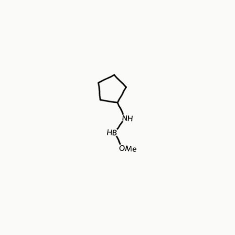 COBNC1CCCC1